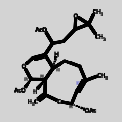 C=C1C[C@@H](OC(C)=O)/C=C(\C)CC[C@@H]2C(C(CC3OC3(C)C)OC(C)=O)=CO[C@H](OC(C)=O)[C@@H]12